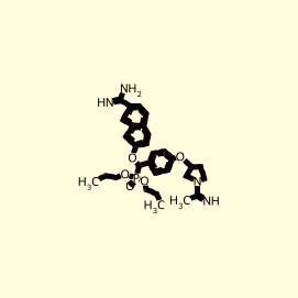 CCCOP(=O)(OCCC)C(Oc1ccc2ccc(C(=N)N)cc2c1)c1ccc(OC2CCN(C(C)=N)C2)cc1